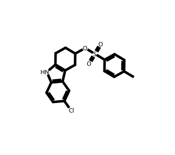 Cc1ccc(S(=O)(=O)OC2CCc3[nH]c4ccc(Cl)cc4c3C2)cc1